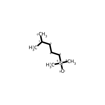 CC(C)CCC[Si](C)(C)[O]